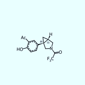 CC(=O)c1cc([C@@]23C[C@@H]2CN(C(=O)C(F)(F)F)C3)ccc1O